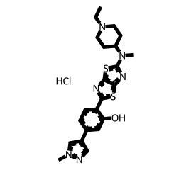 CCN1CCC(N(C)c2nc3sc(-c4ccc(-c5cnn(C)c5)cc4O)nc3s2)CC1.Cl